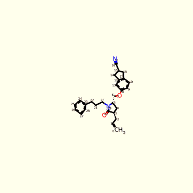 C=CC[C@@H]1C[C@@H](COc2ccc3c(c2)CC(C#N)C3)N(CCCc2ccccc2)C1=O